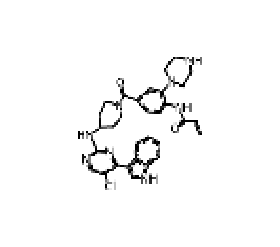 C=CC(=O)Nc1ccc(C(=O)N2CCC(Nc3ncc(Cl)c(-c4c[nH]c5ccccc45)n3)CC2)cc1N1CCNCC1